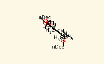 CCCCCCCCCCCCCCCC(=O)O[C@@H]1CC(C)=C(/C=C/C(C)=C/C=C/C(C)=C/C=C/C=C(C)/C=C/C=C(C)/C=C/C(=O)[C@]2(C)C[C@@H](OC(=O)CCCCCCCCCCCCCCC)CC2(C)C)C(C)(C)C1